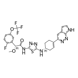 CO[C@@H](C(=O)Nc1nnc(N[C@H]2CC=C(c3cc4cc[nH]c4nn3)CC2)s1)c1cc(OC(F)(F)F)ccc1F